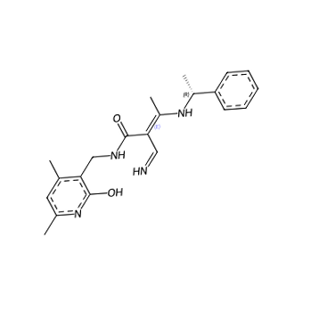 C/C(N[C@H](C)c1ccccc1)=C(/C=N)C(=O)NCc1c(C)cc(C)nc1O